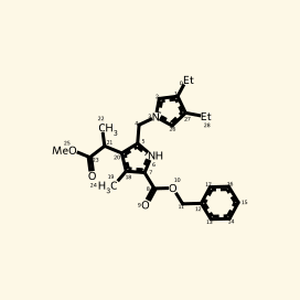 CCc1cn(Cc2[nH]c(C(=O)OCc3ccccc3)c(C)c2C(C)C(=O)OC)cc1CC